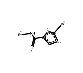 CC(C)NC(=O)c1cnc(Br)s1